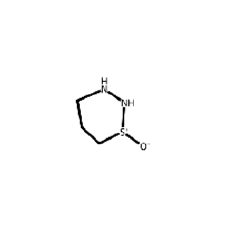 [O-][S+]1CCCNN1